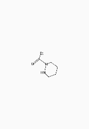 CCC(=O)N1CCCCN1